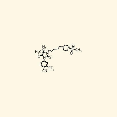 CC1(C)C(=O)N(c2ccc(C#N)c(C(F)(F)F)c2)C(=S)N1CCCCCN1CCN(S(C)(=O)=O)CC1